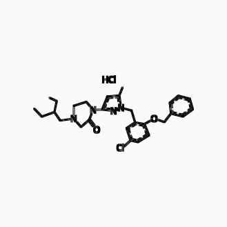 CCC(CC)CN1CCN(c2cc(C)n(Cc3cc(Cl)ccc3OCc3ccccc3)n2)C(=O)C1.Cl